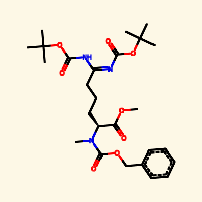 COC(=O)[C@H](CCCC(=NC(=O)OC(C)(C)C)NC(=O)OC(C)(C)C)N(C)C(=O)OCc1ccccc1